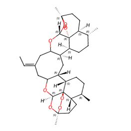 CC=C1CC2O[C@@H]3O[C@]4(C)CC[C@H]5[C@H](C)CC[C@@H]([C@H]2C[C@H]2C(C1)O[C@@H]1O[C@]6(C)CC[C@H]7[C@H](C)CC[C@@H]2[C@@]17OO6)[C@@]35OO4